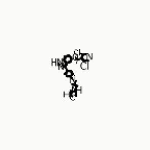 C[C@@H](Oc1ccc2[nH]nc(-c3ccc(N4CC(C)(N5C[C@H]6C[C@@H]5CO6)C4)nc3)c2c1)c1c(Cl)cncc1Cl